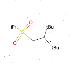 CC(C)S(=O)(=O)CC(C(C)(C)C)C(C)(C)C